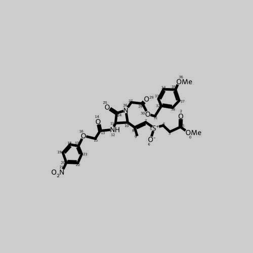 COC(=O)CC[S+]([O-])C=C(C)C1C(NC(=O)COc2ccc([N+](=O)[O-])cc2)C(=O)N1CC(=O)OCc1ccc(OC)cc1